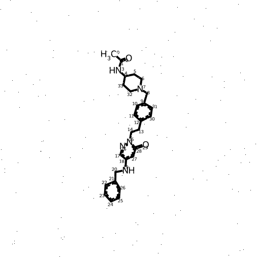 CC(=O)NC1CCN(Cc2ccc(CCn3ncc(NCc4ccccc4)cc3=O)cc2)CC1